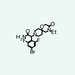 CCN1CC2(CCN(C(C(N)=O)c3c(F)cc(Br)cc3F)CC2)OCC1=O